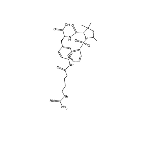 CC1SC(C)(C)[C@@H](C(=O)N[C@@H](Cc2ccc(NC(=O)CCCCNC(=N)N)cc2)C(=O)O)N1S(=O)(=O)c1ccccc1